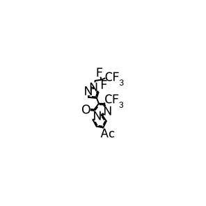 CC(=O)c1ccn2c(=O)c(-c3cnn(CC(F)(F)C(F)(F)F)c3)c(C(F)(F)F)nc2c1